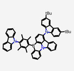 Cc1c(C)c(-n2c3ccccc3c3ccccc32)c(C)c(C)c1B1c2ccccc2-n2c3ccccc3c3c(-n4c5ccc(C(C)(C)C)cc5c5cc(C(C)(C)C)ccc54)ccc1c32